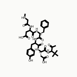 CNCC(=O)NC(CC(=O)O)C(=O)N[C@@H](Cc1ccccc1)C(=O)NC(Cc1ccc(O)cc1)C(=O)N[C@@H](CC(=O)O)C(=O)NC(C(C)=O)C(C)(C)C